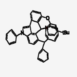 CC(C)(C)c1cc[n+]2c(c1)Oc1cccc3c1C21c2c(ccc4c2c-3cn4-c2ccccc2)C(c2ccccc2)C2=CC1C=CC=C2